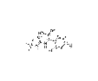 CC(C)(C)OC(=O)NC(C(=O)O)c1ccc(Cl)cc1F